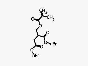 C=C(C)C(=O)OCC(CC(=O)OCCC)C(=O)OCCC